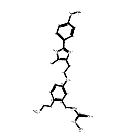 CCCOc1ccc(-c2nc(CCOc3ccc(CCC(=O)O)c(CNC(=O)OC(C)C)c3)c(C)o2)cc1